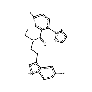 CCN(CCc1c[nH]c2ccc(F)cc12)C(=O)c1cc(C)ccc1-n1nccn1